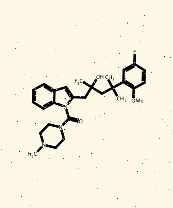 COc1ccc(F)cc1C(C)(C)CC(O)(Cc1cc2ccccc2n1C(=O)N1CCN(C)CC1)C(F)(F)F